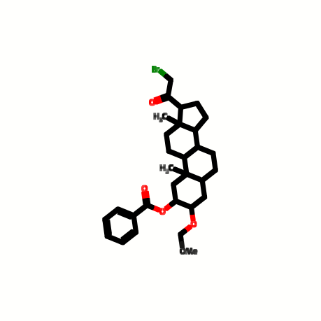 COCOC1CC2CCC3C(CCC4(C)C(C(=O)CBr)CCC34)C2(C)CC1OC(=O)c1ccccc1